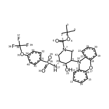 CC(C)(C)OC(=O)N1CC(N2c3ccccc3Oc3ccccc32)[C@@H](O)[C@H](NS(=O)(=O)c2ccc(OC(F)(F)F)cc2)C1